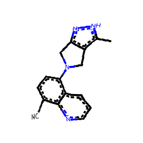 Cc1[nH]nc2c1CN(c1ccc(C#N)c3ncccc13)C2